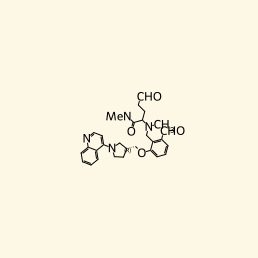 CNC(=O)C(CCC=O)N(C)Cc1c(C=O)cccc1OC[C@@H]1CCN(c2ccnc3ccccc23)C1